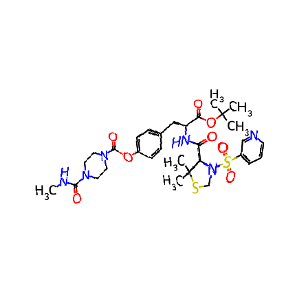 CNC(=O)N1CCN(C(=O)Oc2ccc(C[C@H](NC(=O)C3N(S(=O)(=O)c4cccnc4)CSC3(C)C)C(=O)OC(C)(C)C)cc2)CC1